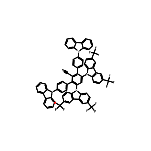 N#Cc1c(-c2ccc(-n3c4ccccc4c4ccccc43)cc2)c(-n2c3ccc(C(F)(F)F)cc3c3cc(C(F)(F)F)ccc32)cc(-n2c3ccc(C(F)(F)F)cc3c3cc(C(F)(F)F)ccc32)c1-c1ccc(-n2c3ccccc3c3ccccc32)cc1